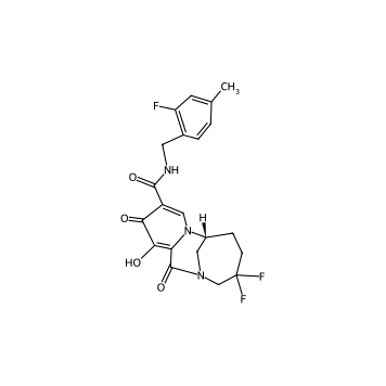 Cc1ccc(CNC(=O)c2cn3c(c(O)c2=O)C(=O)N2C[C@H]3CCC(F)(F)C2)c(F)c1